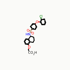 O=C(O)COc1cccc2c1CCC[C@H]2NS(=O)(=O)c1ccc(Oc2ccccc2Cl)cc1